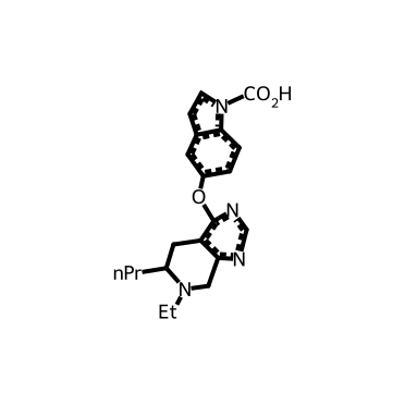 CCCC1Cc2c(ncnc2Oc2ccc3c(ccn3C(=O)O)c2)CN1CC